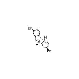 Brc1ccc2c(c1)C[C@@H]1C3CC(Br)C=C[C@H]3C21